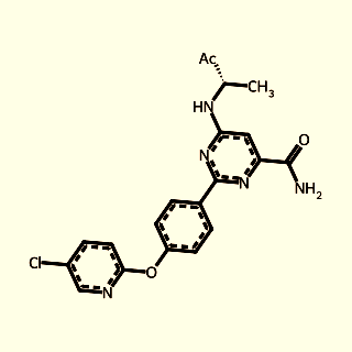 CC(=O)[C@H](C)Nc1cc(C(N)=O)nc(-c2ccc(Oc3ccc(Cl)cn3)cc2)n1